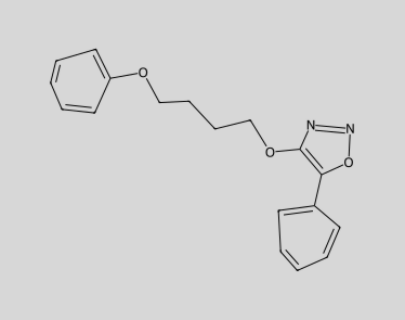 c1ccc(OCCCCOc2nnoc2-c2ccccc2)cc1